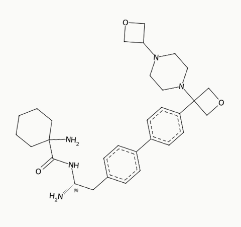 N[C@@H](Cc1ccc(-c2ccc(C3(N4CCN(C5COC5)CC4)COC3)cc2)cc1)NC(=O)C1(N)CCCCC1